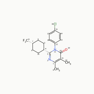 Cc1nc([C@H]2CC[C@@H](C(F)(F)F)CC2)n(-c2ccc(Cl)cc2)c(=O)c1C